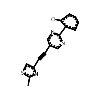 Cc1nc(C#Cc2cnc(-c3ccccc3Cl)nc2)cs1